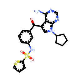 Nc1ncnc2c1c(C(=O)c1cccc(NS(=O)(=O)c3cccs3)c1)cn2C1CCCC1